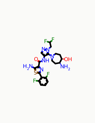 Nc1sc(-c2c(F)cccc2F)nc1C(=O)Nc1cnn(CC(F)F)c1N1CC[C@@H](O)[C@@H](N)CC1